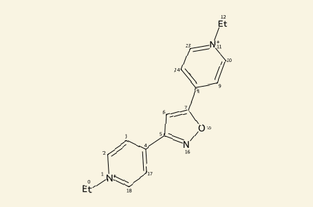 CC[n+]1ccc(-c2cc(-c3cc[n+](CC)cc3)on2)cc1